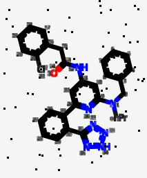 CCCN(Cc1ccccc1)c1cc(NC(=O)Cc2ccccc2C(F)(F)F)cc(-c2ccccc2-c2nn[nH]n2)n1